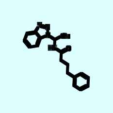 CC(C)(C)C(NC(=O)CCCc1ccccc1)n1nnc2ccccc21